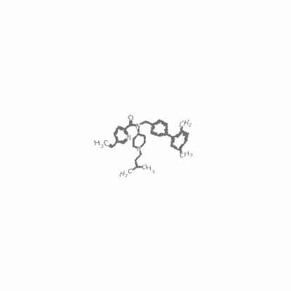 C=Cc1ccc(C(=O)N(Cc2ccc(-c3cc(C)ccc3C)cc2)C2CCN(CCC(C)C)CC2)nc1